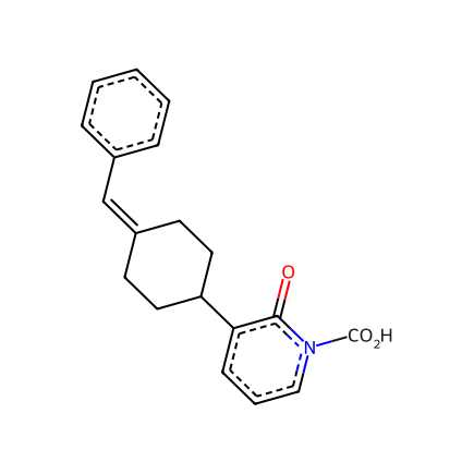 O=C(O)n1cccc(C2CCC(=Cc3ccccc3)CC2)c1=O